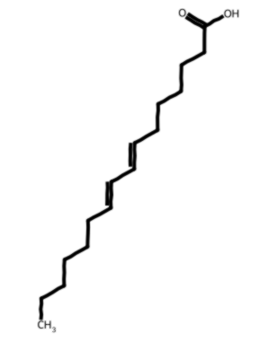 CCCCCCC=CC=CCCCCCC(=O)O